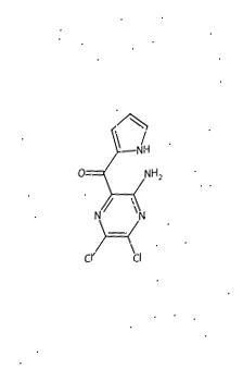 Nc1nc(Cl)c(Cl)nc1C(=O)c1ccc[nH]1